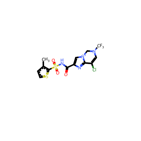 Cc1ccsc1S(=O)(=O)NC(=O)C1=C[N+]2CN(C(F)(F)F)C=C(Cl)C2=N1